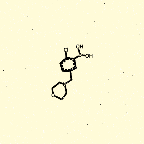 OB(O)c1cc(CN2CCOCC2)ccc1Cl